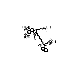 CC[N+]1=C(/C=C/C=C/C=C/C=C2/N(CCCCCC(=O)O)c3ccc4c(S(=O)(=O)O)cc(S(=O)(=O)O)cc4c3C2(C)CCOC)C(C)(CCCS(=O)(=O)O)c2c1ccc1ccccc21